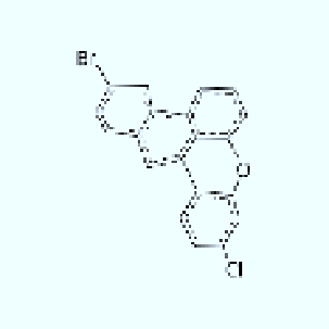 Clc1ccc2c(c1)Oc1cccc3c1c-2cc1ccc(Br)cc13